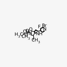 CCC1CN(C(=O)OC(C)(C)C)C(=O)c2cc(-c3ccnc(Br)c3F)[nH]c21